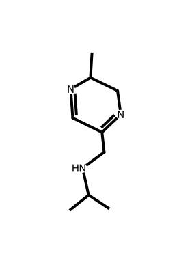 CC1CN=C(CNC(C)C)C=N1